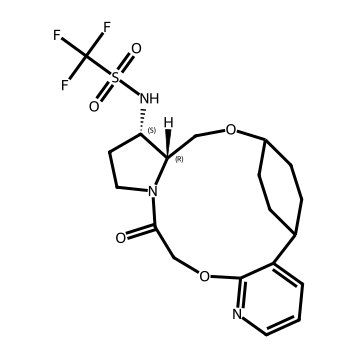 O=C1COc2ncccc2C2CCC(CC2)OC[C@H]2[C@@H](NS(=O)(=O)C(F)(F)F)CCN12